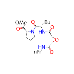 CCCNC(=O)[C@H]1O[C@@H]1C(=O)N[C@H](C(=O)N1CCC[C@H]1C(=O)OC)C(C)CC